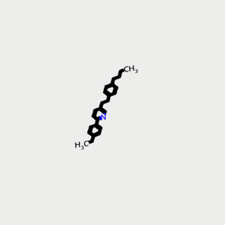 CCCCc1ccc(CCc2ccc(-c3ccc(CC)cc3)nc2)cc1